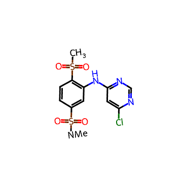 CNS(=O)(=O)c1ccc(S(C)(=O)=O)c(Nc2cc(Cl)ncn2)c1